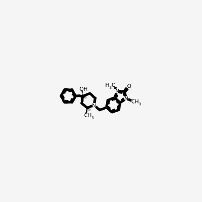 C[C@H]1C[C@@](O)(c2ccccc2)CCN1Cc1ccc2c(c1)n(C)c(=O)n2C